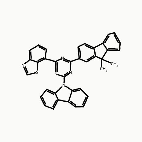 CC1(C)c2ccccc2-c2ccc(-c3nc(-c4cccc5ncsc45)nc(-n4c5ccccc5c5ccccc54)n3)cc21